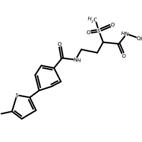 CS(=O)(=O)C(CCNC(=O)c1ccc(-c2ccc(Br)s2)cc1)C(=O)NO